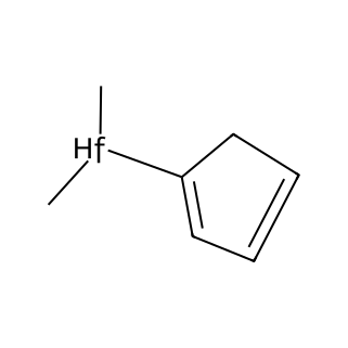 [CH3][Hf]([CH3])[C]1=CC=CC1